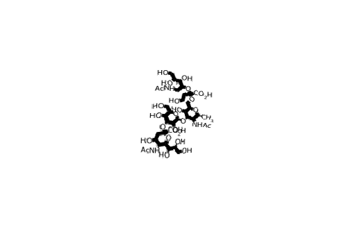 CC(=O)NCC(OC(CCO)(OCC1O[C@H](C)C(NC(C)=O)[C@@H](O[C@@H]2OC(CO)C(O)[C@H](OC3(C(=O)O)CC(O)[C@@H](NC(C)=O)C([C@H](O)[C@H](O)CO)O3)C2O)C1O)C(=O)O)[C@H](O)C(O)CO